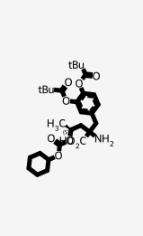 C[C@@H](CC(N)(Cc1ccc(OC(=O)C(C)(C)C)c(OC(=O)C(C)(C)C)c1)C(=O)O)OC(=O)OC1CCCCC1